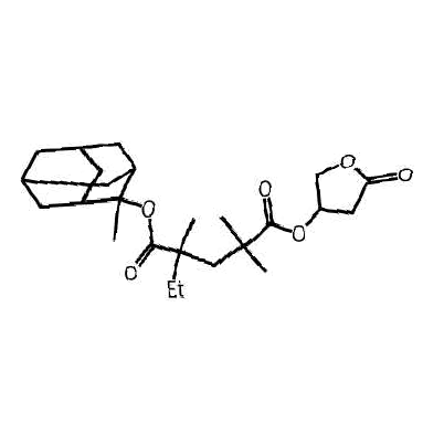 CCC(C)(CC(C)(C)C(=O)OC1COC(=O)C1)C(=O)OC1(C)C2CC3CC(C2)CC1C3